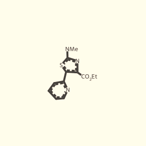 CCOC(=O)c1nc(NC)sc1-c1ccccn1